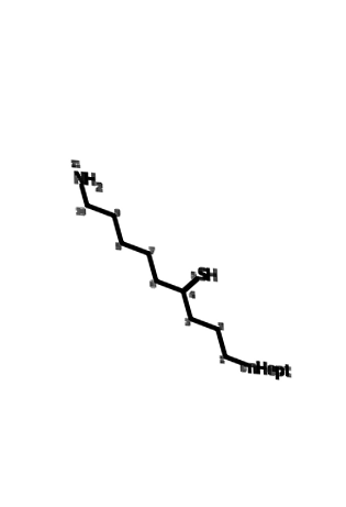 CCCCCCCCCCC(S)CCCCCN